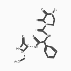 CCN1CCN(C(=O)NC(C(=O)N[C@H]2C(=O)N[C@H]2COC(C)=O)c2ccccc2)C(=O)C1=O